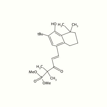 COP(=O)(OC)C(C)(C)C(=O)C=Cc1cc(C(C)(C)C)c(O)c2c1CCCC2(C)C